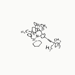 COC(=O)c1sc(C#CC(C)(C)C)cc1N1C(=O)[C@@](C)(CCO)OC[C@H]1C1CCCCC1